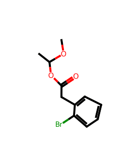 COC(C)OC(=O)Cc1ccccc1Br